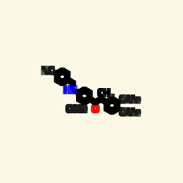 COc1ccc(C(C)C(=O)c2ccc(NCc3ccc(C#N)cc3)cc2OC)cc1OC